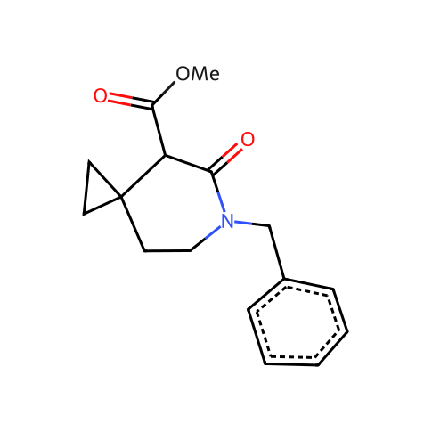 COC(=O)C1C(=O)N(Cc2ccccc2)CCC12CC2